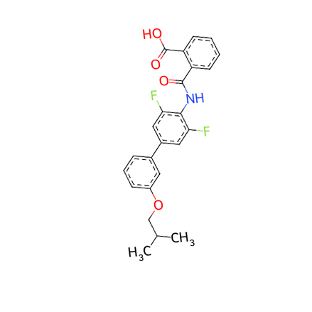 CC(C)COc1cccc(-c2cc(F)c(NC(=O)c3ccccc3C(=O)O)c(F)c2)c1